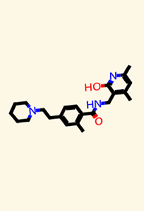 Cc1cc(C)c(CNC(=O)c2ccc(CCN3CCCCC3)cc2C)c(O)n1